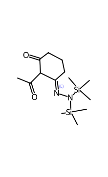 CC(=O)C1C(=O)CCC/C1=N\N([Si](C)(C)C)[Si](C)(C)C